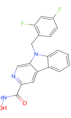 O=C(NO)c1cc2c3ccccc3n(Cc3ccc(F)cc3F)c2cn1